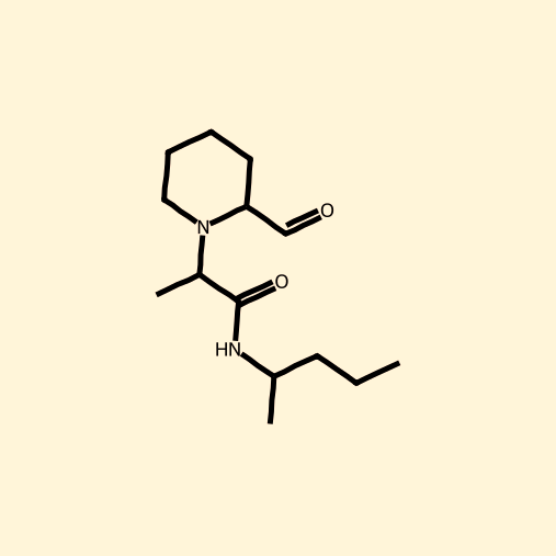 CCCC(C)NC(=O)C(C)N1CCCCC1C=O